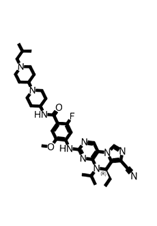 CC[C@@H]1c2c(C#N)ncn2-c2cnc(Nc3cc(F)c(C(=O)NC4CCN(C5CCN(CC(C)C)CC5)CC4)cc3OC)nc2N1C(C)C